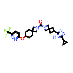 O=C(N1CC2(CCC(Oc3ccc(C(F)(F)F)nn3)CC2)C1)N1CC2(CC(c3nnc(C4CC4)[nH]3)C2)C1